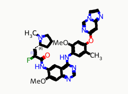 COc1cc2ncnc(Nc3cc(C)c(Oc4cc5nccn5cn4)cc3OC)c2cc1NC(=O)/C(F)=C\[C@H]1CCCN1C